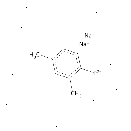 Cc1ccc([P-2])c(C)c1.[Na+].[Na+]